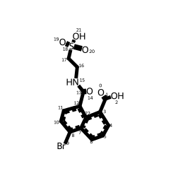 O=C(O)c1cccc2c(Br)ccc(C(=O)NCCS(=O)(=O)O)c12